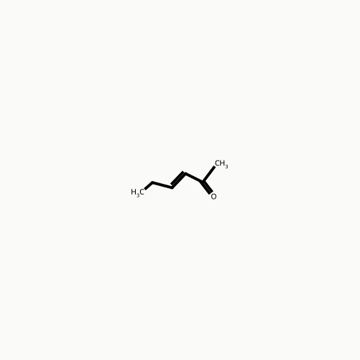 CCC=CC(C)=O